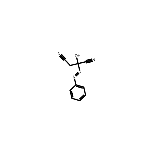 N#CCC(O)(C#N)/N=N/c1ccccc1